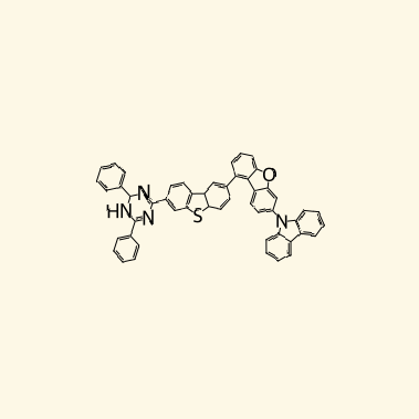 C1=CC2Sc3cc(C4=NC(c5ccccc5)NC(c5ccccc5)=N4)ccc3C2C=C1c1cccc2oc3cc(-n4c5ccccc5c5ccccc54)ccc3c12